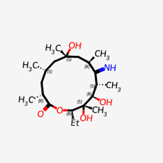 CC[C@H]1OC(=O)[C@H](C)C[C@H](C)C[C@](C)(O)C[C@@H](C)C(=N)[C@H](C)[C@@H](O)[C@]1(C)O